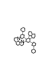 c1ccc(-c2cccc(-c3cc(-c4ccc5ccc6cccnc6c5n4)c(-c4cccc(-c5ccccc5)c4)c4c3-c3cccc5cccc-4c35)c2)cc1